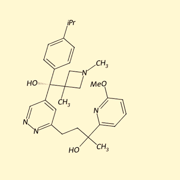 COc1cccc(C(C)(O)CCc2cc([C@@](O)(c3ccc(C(C)C)cc3)C3(C)CN(C)C3)cnn2)n1